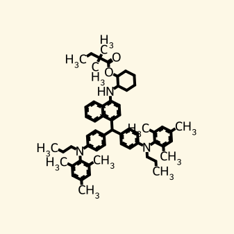 CCCN(c1ccc(C(c2ccc(N(CCC)c3c(C)cc(C)cc3C)cc2)c2ccc(NC3CCCCC3OC(=O)C(C)(C)CC)c3ccccc23)cc1)c1c(C)cc(C)cc1C